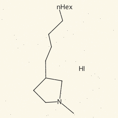 CCCCCCCCCCC1CCN(C)C1.I